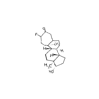 C[C@]12CC[C@H]3[C@@H](CCC4CC(=O)C(F)C[C@@]43C)[C@@H]1CC[C@@H]2O